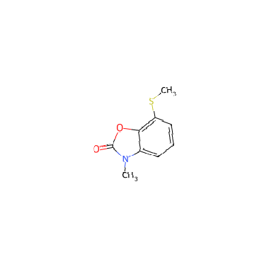 CSc1cccc2c1oc(=O)n2C